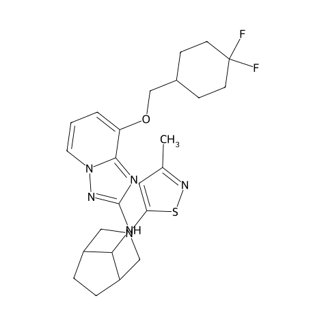 Cc1cc(N2CC3CCC(C2)C3Nc2nc3c(OCC4CCC(F)(F)CC4)cccn3n2)sn1